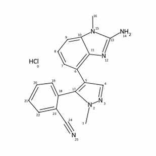 Cl.Cn1ncc(-c2cccc3c2nc(N)n3C)c1-c1ccccc1C#N